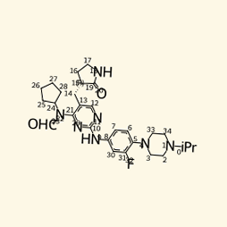 CC(C)N1CCN(c2ccc(Nc3ncc(C[C@@H]4CCNC4=O)c(N(C=O)C4CCCC4)n3)cc2F)CC1